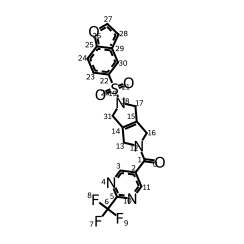 O=C(c1cnc(C(F)(F)F)nc1)N1CC2=C(C1)CN(S(=O)(=O)c1ccc3occc3c1)C2